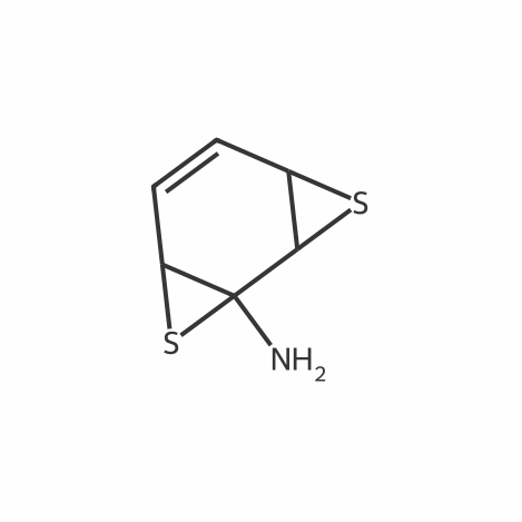 NC12SC1C=CC1SC12